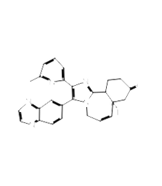 Cc1cccc(-c2nc3n(c2-c2ccc4nccnc4c2)CC=C[C@H]2CC(=O)CCC32)n1